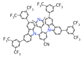 Cc1cc(-c2c(-n3c4ccc(-c5cc(C(F)(F)F)cc(C(F)(F)F)c5)cc4c4cc(-c5cc(C(F)(F)F)cc(C(F)(F)F)c5)ccc43)cc(C#N)cc2-n2c3ccc(-c4cc(C(F)(F)F)cc(C(F)(F)F)c4)cc3c3cc(-c4cc(C(F)(F)F)cc(C(F)(F)F)c4)ccc32)cc(C)n1